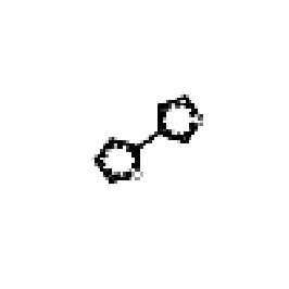 c1coc(-c2ccsc2)c1